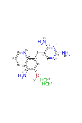 COc1cc(Cc2cnc(N)nc2N)c2ncccc2c1N.Cl.Cl